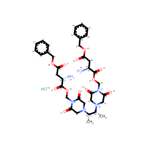 C[C@H]([C@H](C)N1CC(=O)N(COC(=O)[C@@H](N)CC(=O)OCc2ccccc2)C(=O)C1)N1CC(=O)N(COC(=O)[C@@H](N)CC(=O)OCc2ccccc2)C(=O)C1.Cl